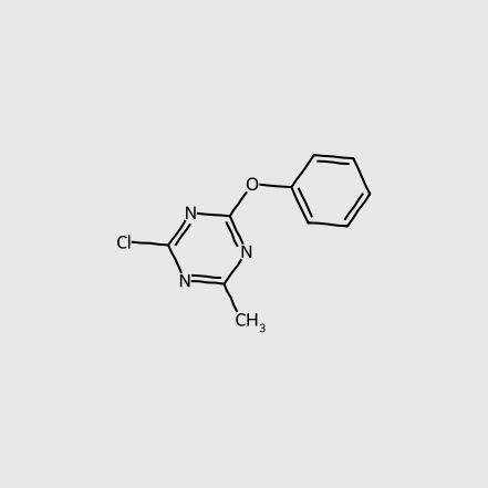 Cc1nc(Cl)nc(Oc2ccccc2)n1